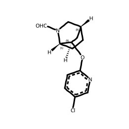 O=CN1C[C@@H]2CC[C@H]1[C@H](Oc1ccc(Cl)cn1)C2